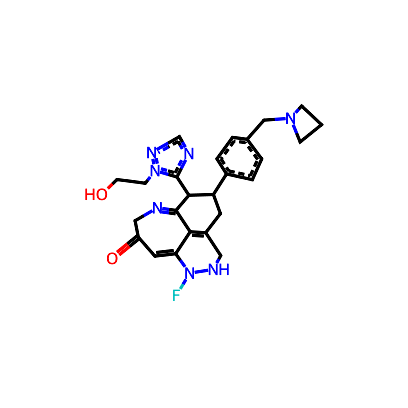 O=C1C=C2C3=C(CNN2F)CC(c2ccc(CN4CCC4)cc2)C(c2ncnn2CCO)C3=NC1